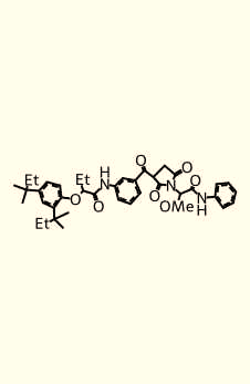 CCC(Oc1ccc(C(C)(C)CC)cc1C(C)(C)CC)C(=O)Nc1cccc(C(=O)C2CC(=O)N(C(OC)C(=O)Nc3ccccc3)C2=O)c1